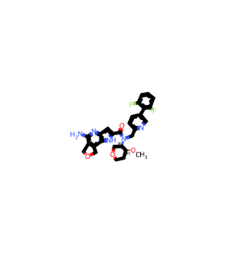 CO[C@@H]1CCOC[C@H]1N(Cc1ccc(-c2c(F)cccc2F)cn1)C(=O)c1cc2nc(N)c3c(c2[nH]1)COC3